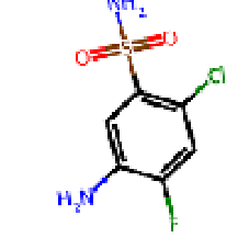 Nc1cc(S(N)(=O)=O)c(Cl)cc1F